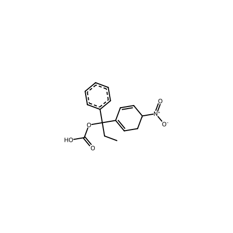 CCC(OC(=O)O)(C1=CC[C]([N+](=O)[O-])C=C1)c1ccccc1